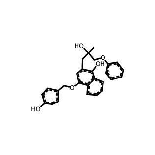 CC(O)(COc1ccccc1)Cc1cc(OCc2ccc(O)cc2)c2ccccc2c1O